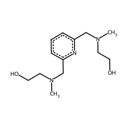 CN(CCO)Cc1cccc(CN(C)CCO)n1